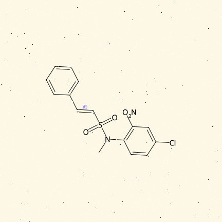 CN(c1ccc(Cl)cc1[N+](=O)[O-])S(=O)(=O)/C=C/c1ccccc1